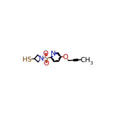 CC#CCOc1ccc(S(=O)(=O)N2CC(S)C2)nc1